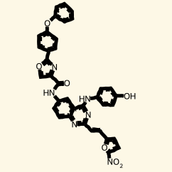 O=C(Nc1ccc2nc(/C=C/c3ccc([N+](=O)[O-])o3)nc(Nc3ccc(O)cc3)c2c1)c1coc(-c2ccc(Oc3ccccc3)cc2)n1